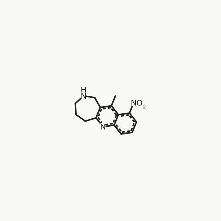 Cc1c2c(nc3cccc([N+](=O)[O-])c13)CCCNC2